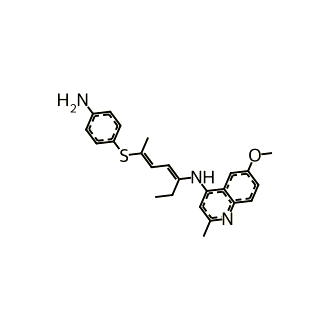 CC/C(=C\C=C(/C)Sc1ccc(N)cc1)Nc1cc(C)nc2ccc(OC)cc12